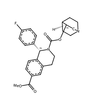 COC(=O)c1ccc2c(c1)CCN(C(=O)O[C@@H]1CN3CCC1CC3)[C@H]2c1ccc(F)cc1